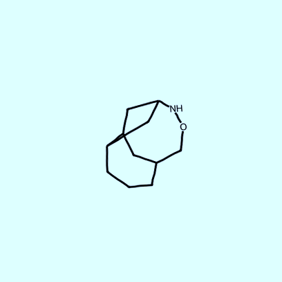 C1CC2CONC3CC(C1)C(C2)C3